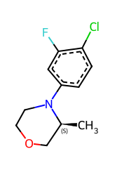 C[C@H]1COCCN1c1ccc(Cl)c(F)c1